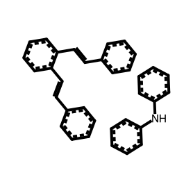 C(=Cc1ccccc1C=Cc1ccccc1)c1ccccc1.c1ccc(Nc2ccccc2)cc1